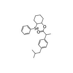 CC(C)Cc1ccc(C(C)C(=O)OC2CCCCC2[Se]c2ccccc2)cc1